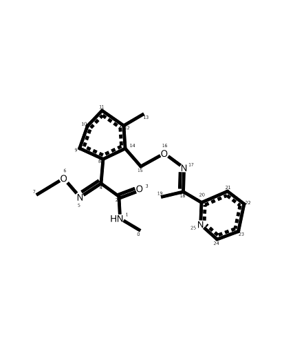 CNC(=O)/C(=N/OC)c1cccc(C)c1CO/N=C(\C)c1ccccn1